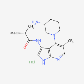 CO[C@H](C)C(=O)Nc1c[nH]c2ncc(C(F)(F)F)c(N3CCC[C@@H](N)C3)c12.Cl